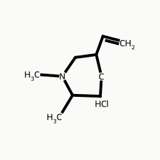 C=CC1CCC(C)N(C)C1.Cl